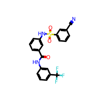 N#Cc1cccc(S(=O)(=O)Nc2cccc(C(=O)Nc3cccc(C(F)(F)F)c3)c2)c1